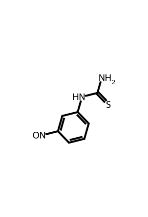 NC(=S)Nc1cccc(N=O)c1